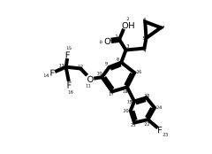 O=C(O)C(CC1CC1)c1cc(OCC(F)(F)F)cc(-c2ccc(F)cc2)c1